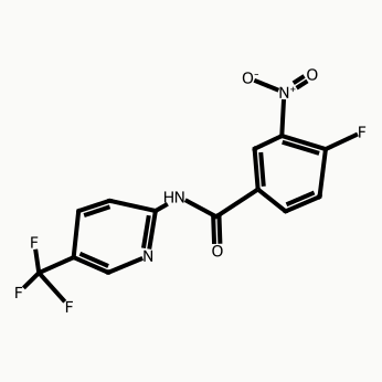 O=C(Nc1ccc(C(F)(F)F)cn1)c1ccc(F)c([N+](=O)[O-])c1